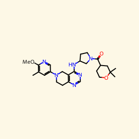 COc1ncc(N2CCc3ncnc(NC4CCN(C(=O)C5CCOC(C)(C)C5)C4)c3C2)cc1C